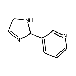 C1=NC(c2cccnc2)NC1